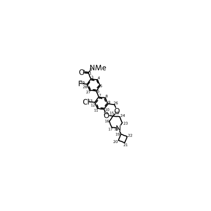 CNC(=O)c1ccc(-c2cc3c(cc2Cl)OC2(CCN(C4CCC4)CC2)OC3)cc1F